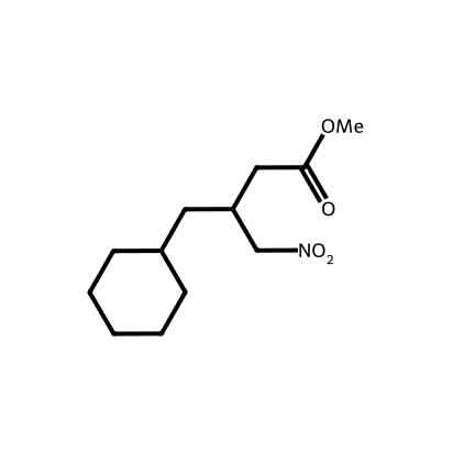 COC(=O)CC(CC1CCCCC1)C[N+](=O)[O-]